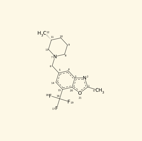 Cc1nc2cc(CN3CCC[C@@H](C)C3)cc(C(F)(F)F)c2o1